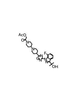 CC(=O)OCC(=O)N1CCC(N2CCC(c3nc(-n4nc(C(C)(C)O)c5cccc(F)c54)no3)CC2)CC1